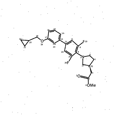 COC(=O)C[C@@H]1CCN(c2c(F)cc(-c3cccc(OCC4CC4)n3)cc2F)C1